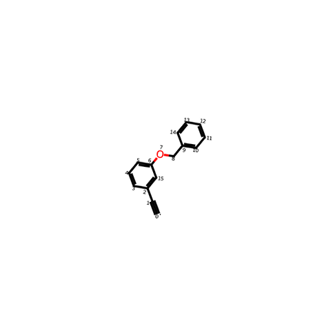 [C]#Cc1cccc(OCc2ccccc2)c1